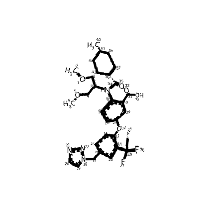 COCC(COC)N(c1ccc(Oc2ccc(Cn3ccnn3)cc2C(F)(F)F)cc1C(=O)O)C(=O)[C@H]1CC[C@H](C)CC1